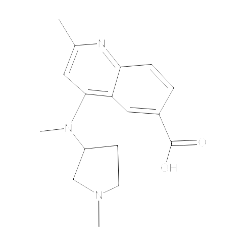 Cc1cc(N(C)C2CCN(C)C2)c2cc(C(=O)O)ccc2n1